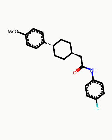 COc1ccc([C@H]2CC[C@H](CC(=O)Nc3ccc(F)cc3)CC2)cc1